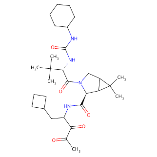 CC(=O)C(=O)C(CC1CCC1)NC(=O)[C@@H]1C2C(CN1C(=O)[C@@H](NC(=O)NC1CCCCC1)C(C)(C)C)C2(C)C